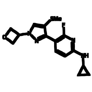 CSc1cn(C2COC2)nc1-c1ccc(NC2CC2)nc1F